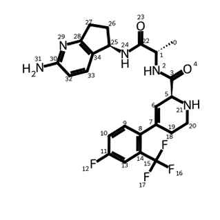 C[C@H](NC(=O)[C@@H]1C=C(c2ccc(F)cc2C(F)(F)F)CCN1)C(=O)N[C@@H]1CCc2nc(N)ccc21